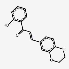 O=C(/C=C/c1ccc2c(c1)OCCO2)c1ccccc1O